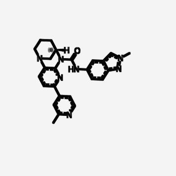 Cc1cc(-c2ccc3c(n2)N(C(=O)Nc2ccc4nn(C)cc4c2)[C@H]2CCCN3C2)ccn1